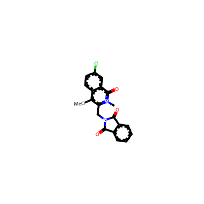 COc1c(CN2C(=O)c3ccccc3C2=O)n(C)c(=O)c2cc(Cl)ccc12